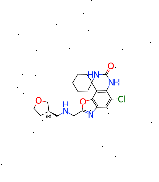 O=C1Nc2c(Cl)cc3nc(CNC[C@H]4CCOC4)oc3c2C2(CCCCC2)N1